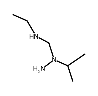 CCNCN(N)C(C)C